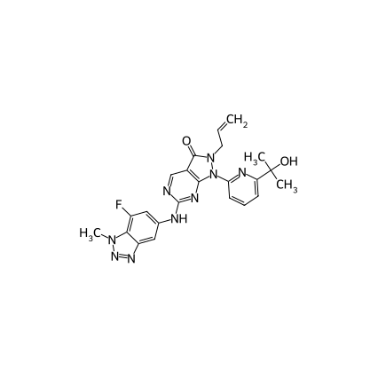 C=CCn1c(=O)c2cnc(Nc3cc(F)c4c(c3)nnn4C)nc2n1-c1cccc(C(C)(C)O)n1